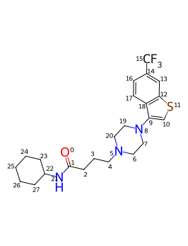 O=C(CCCN1CCN(c2csc3cc(C(F)(F)F)ccc23)CC1)NC1CCCCC1